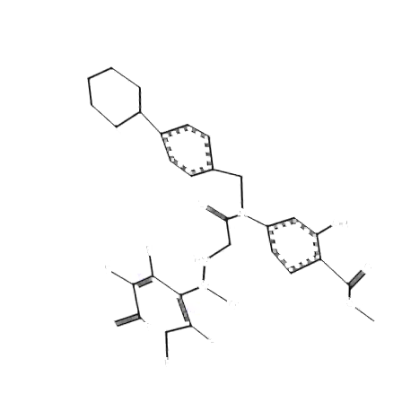 C=C(F)/C(F)=C(F)\C(=C(\F)CF)[S+]([O-])NCC(=O)N(Cc1ccc(C2CCCCC2)cc1)c1ccc(C(=O)OC)c(O)c1